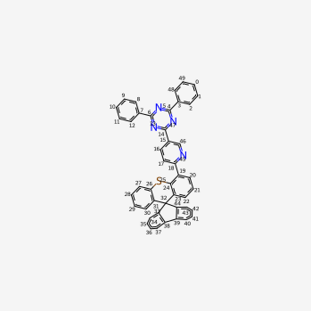 c1ccc(-c2nc(-c3ccccc3)nc(-c3ccc(-c4cccc5c4Sc4ccccc4C54c5ccccc5-c5ccccc54)nc3)n2)cc1